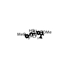 COC(=O)C(C)C(c1ccc(I)c(O[C@@H](CO)c2ccc(-c3cc(OC)ccc3F)nc2C(F)(F)F)c1)C1CC1